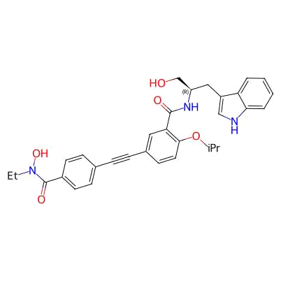 CCN(O)C(=O)c1ccc(C#Cc2ccc(OC(C)C)c(C(=O)N[C@@H](CO)Cc3c[nH]c4ccccc34)c2)cc1